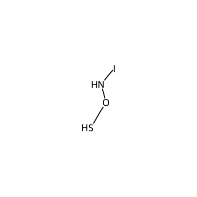 SONI